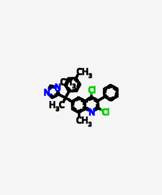 Cc1ccc(C(C)(c2cc(C)c3nc(Cl)c(-c4ccccc4)c(Cl)c3c2)c2cncn2C)cc1